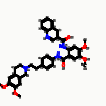 COc1cc2c(cc1OC)CN(CCc1ccc(NC(=O)c3cc(O[11CH3])c(OC)cc3NC(=O)c3cnc4ccccc4c3)cc1)CC2